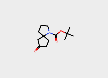 CC(C)(C)OC(=O)N1CCCC12CCC(=O)C2